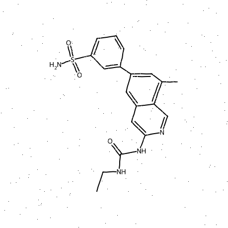 CCNC(=O)Nc1cc2cc(-c3cccc(S(N)(=O)=O)c3)cc(C)c2cn1